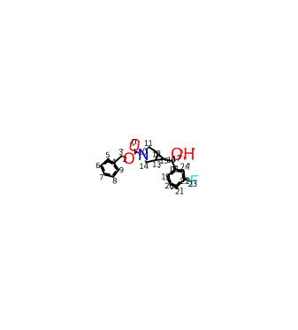 O=C(OCc1ccccc1)N1CC2C(C1)C2C(O)c1cccc(F)c1